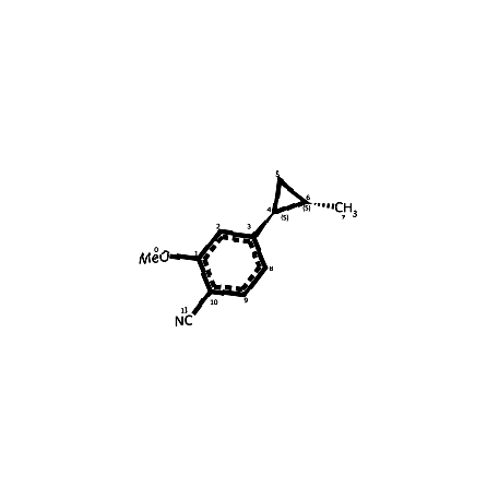 COc1cc([C@H]2C[C@@H]2C)ccc1C#N